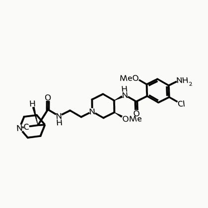 COc1cc(N)c(Cl)cc1C(=O)N[C@@H]1CCN(CCNC(=O)[C@H]2CN3CCC2CC3)C[C@@H]1OC